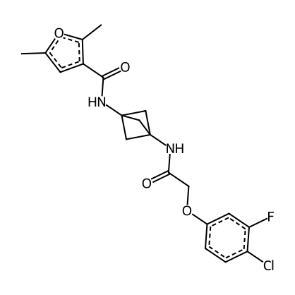 Cc1cc(C(=O)NC23CC(NC(=O)COc4ccc(Cl)c(F)c4)(C2)C3)c(C)o1